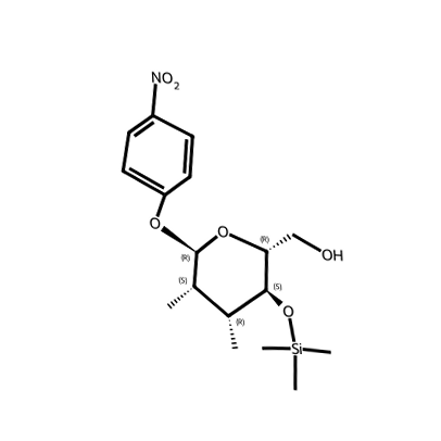 C[C@@H]1[C@@H](Oc2ccc([N+](=O)[O-])cc2)O[C@H](CO)[C@@H](O[Si](C)(C)C)[C@@H]1C